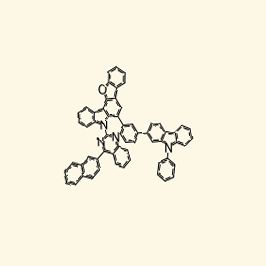 c1ccc(-n2c3ccccc3c3ccc(-c4cccc(-c5cc6c7ccccc7oc6c6c7ccccc7n(-c7nc(-c8ccc9ccccc9c8)c8ccccc8n7)c56)c4)cc32)cc1